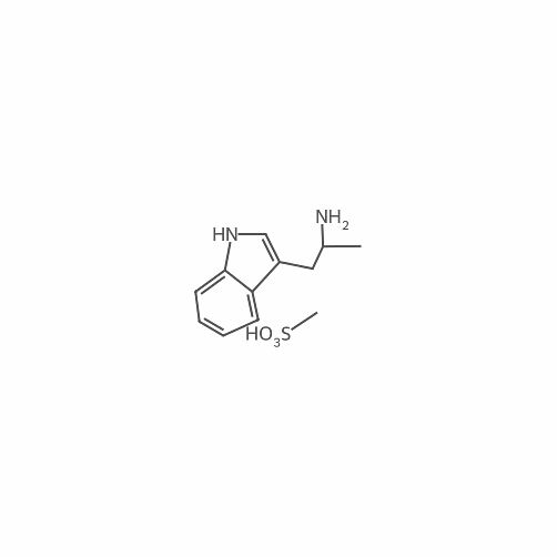 CC(N)Cc1c[nH]c2ccccc12.CS(=O)(=O)O